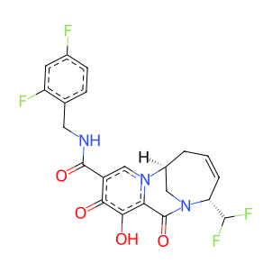 O=C(NCc1ccc(F)cc1F)c1cn2c(c(O)c1=O)C(=O)N1C[C@@H]2CC=C[C@@H]1C(F)F